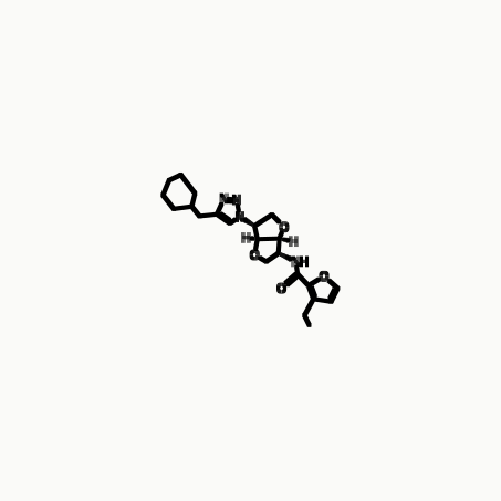 CCc1ccoc1C(=O)N[C@H]1CO[C@H]2[C@@H]1OC[C@@H]2n1cc(CC2CCCCC2)nn1